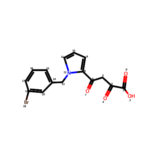 O=C(O)C(=O)CC(=O)c1cccn1Cc1cccc(Br)c1